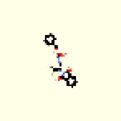 CCC[C@H](F)[C@@H](CNC(=O)OCc1ccccc1)N1C(=O)c2ccccc2C1=O